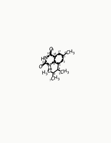 Cc1cc(C(C)C(C)C)c2[nH]c(=O)[nH]c(=O)c2c1